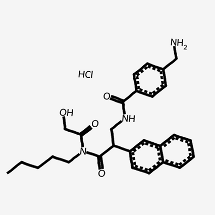 CCCCCN(C(=O)CO)C(=O)C(CNC(=O)c1ccc(CN)cc1)c1ccc2ccccc2c1.Cl